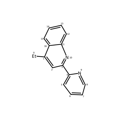 CCc1cc(-c2ccccn2)nc2ccccc12